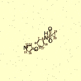 O=CC1(C(=O)Nc2ccc(Oc3ccncc3)cc2)CC1